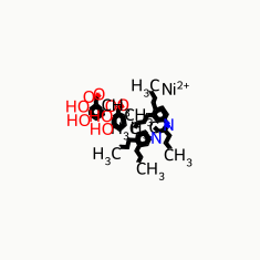 CCCCC(=Nc1ccc(CCCC)c(CCCC)c1)C(C)=Nc1ccc(CCCC)c(CCCC)c1.Cc1ccc(O)c(O)c1C(=O)[O-].Cc1ccc(O)c(O)c1C(=O)[O-].[Ni+2]